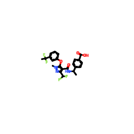 CC(NC(=O)c1c(C(F)F)nn(C)c1Oc1cccc(C(C)(F)F)c1)c1ccc(C(=O)O)cc1